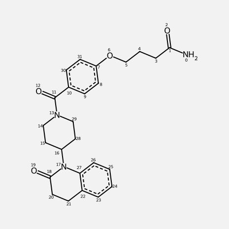 NC(=O)CCCOc1ccc(C(=O)N2CCC(N3C(=O)CCc4ccccc43)CC2)cc1